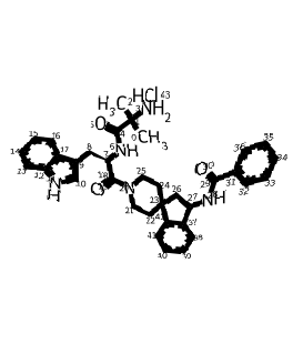 CC(C)(N)C(=O)N[C@H](Cc1c[nH]c2ccccc12)C(=O)N1CCC2(CC1)CC(NC(=O)c1ccccc1)c1ccccc12.Cl